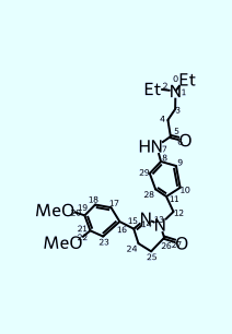 CCN(CC)CCC(=O)Nc1ccc(CN2N=C(c3ccc(OC)c(OC)c3)CCC2=O)cc1